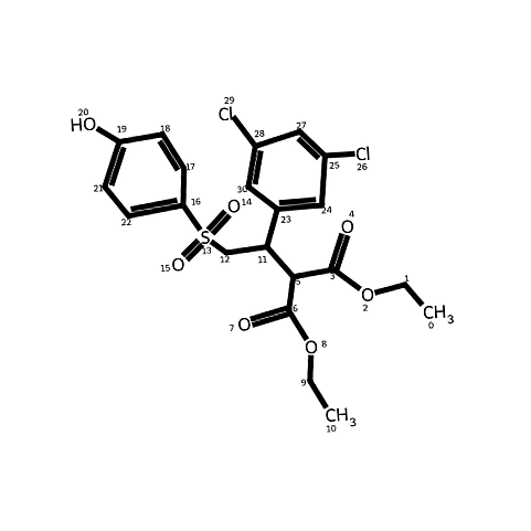 CCOC(=O)C(C(=O)OCC)C(CS(=O)(=O)c1ccc(O)cc1)c1cc(Cl)cc(Cl)c1